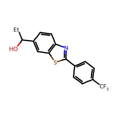 CCC(O)c1ccc2nc(-c3ccc(C(F)(F)F)cc3)sc2c1